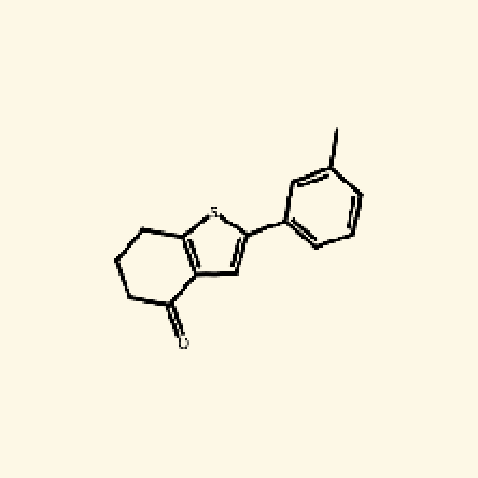 Cc1cccc(-c2cc3c(s2)CCCC3=O)c1